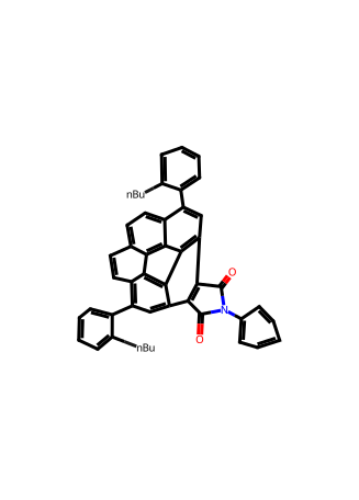 CCCCc1ccccc1-c1cc2c3c(=O)n(-c4ccccc4)c(=O)c3c3cc(-c4ccccc4CCCC)c4ccc5ccc1c1c5c4c3c21